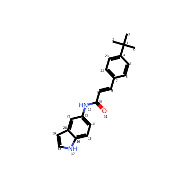 CC(C)(C)c1ccc(/C=C/C(=O)Nc2ccc3[nH]ccc3c2)cc1